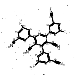 N#Cc1cc(F)cc(-c2nc(-c3cc(F)cc(C#N)c3)c(C#N)c(-c3cc(F)cc(C#N)c3)c2C#N)c1